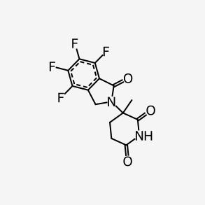 CC1(N2Cc3c(F)c(F)c(F)c(F)c3C2=O)CCC(=O)NC1=O